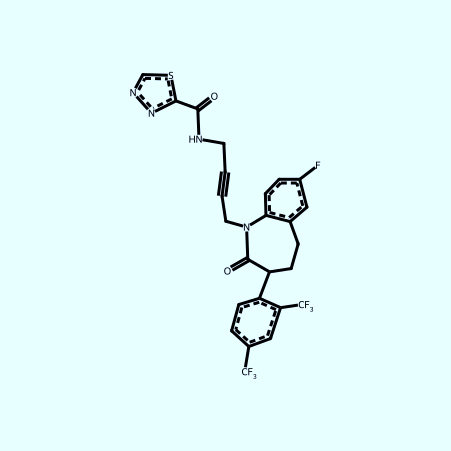 O=C(NCC#CCN1C(=O)C(c2ccc(C(F)(F)F)cc2C(F)(F)F)CCc2cc(F)ccc21)c1nncs1